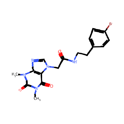 Cn1c(=O)c2c(ncn2CC(=O)NCCc2ccc(Br)cc2)n(C)c1=O